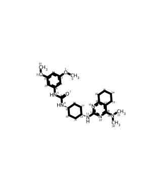 COc1cc(NC(=O)N[C@H]2CC[C@@H](Nc3nc4c(c(N(C)C)n3)CCCC4)CC2)cc(OC)c1